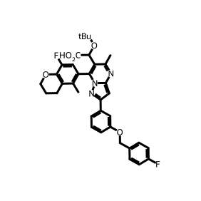 Cc1nc2cc(-c3cccc(OCc4ccc(F)cc4)c3)nn2c(-c2cc(F)c3c(c2C)CCCO3)c1C(OC(C)(C)C)C(=O)O